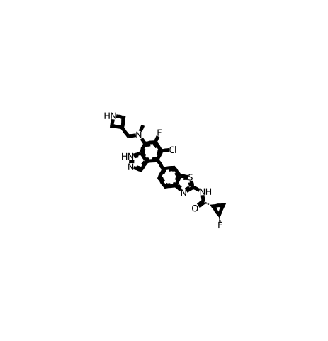 CN(CC1CNC1)c1c(F)c(Cl)c(-c2ccc3nc(NC(=O)[C@@H]4C[C@@H]4F)sc3c2)c2cn[nH]c12